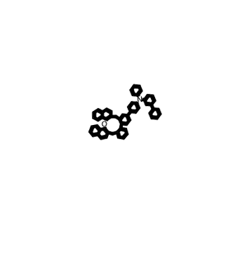 c1ccc(-c2cccc(N(c3ccccc3)c3ccc(-c4ccc5c(c4)Cc4ccc6ccccc6c4Oc4c(ccc6ccccc46)Cc4ccccc4-5)cc3)c2)cc1